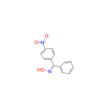 O=[N+]([O-])c1ccc(/C(=N\O)c2ccccc2)cc1